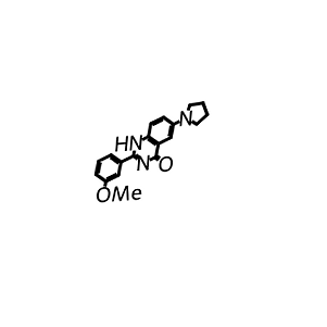 COc1cccc(-c2nc(=O)c3cc(N4CCCC4)ccc3[nH]2)c1